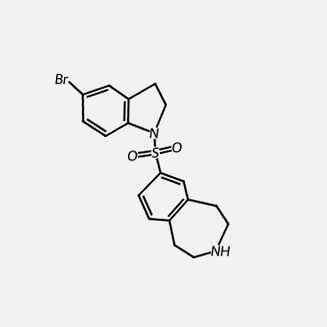 O=S(=O)(c1ccc2c(c1)CCNCC2)N1CCc2cc(Br)ccc21